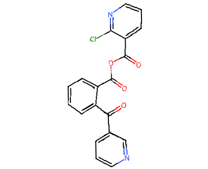 O=C(OC(=O)c1cccnc1Cl)c1ccccc1C(=O)c1cccnc1